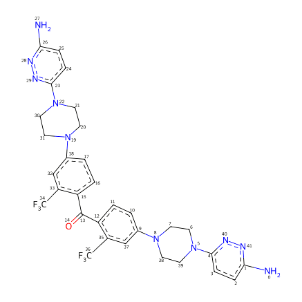 Nc1ccc(N2CCN(c3ccc(C(=O)c4ccc(N5CCN(c6ccc(N)nn6)CC5)cc4C(F)(F)F)c(C(F)(F)F)c3)CC2)nn1